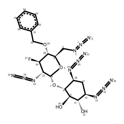 [N-]=[N+]=NC[C@H]1O[C@H](O[C@H]2[C@H](O)[C@@H](O)[C@H](N=[N+]=[N-])C[C@@H]2N=[N+]=[N-])[C@H](N=[N+]=[N-])[C@@H](F)[C@@H]1OCc1ccccc1